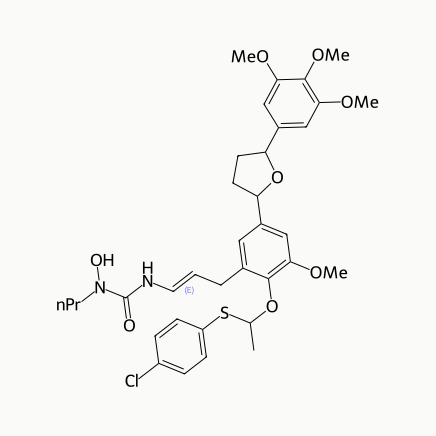 CCCN(O)C(=O)N/C=C/Cc1cc(C2CCC(c3cc(OC)c(OC)c(OC)c3)O2)cc(OC)c1OC(C)Sc1ccc(Cl)cc1